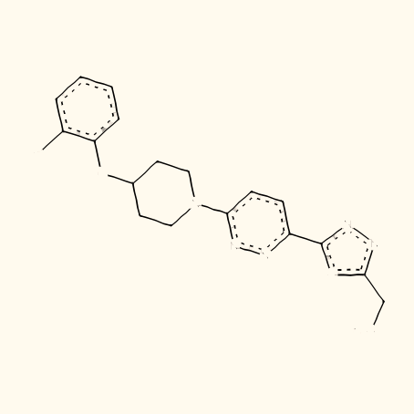 CC(=O)OCc1nnc(-c2ccc(N3CCC(Oc4ccccc4Br)CC3)nn2)o1